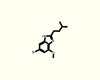 COc1cc(Br)cc2[nH]c(CCC(C)C)nc12